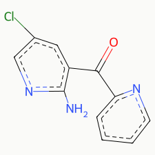 Nc1ncc(Cl)cc1C(=O)c1ccccn1